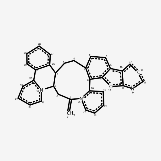 C=C1CC2C(CCc3ccc4c(oc5ncccc54)c3-c3cccc[n+]31)c1ccccc1-c1cccc[n+]12